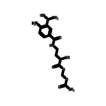 CC(=O)OCOC(=O)C(O)CCNC(=O)c1ccc(N)c(N(N)O)c1